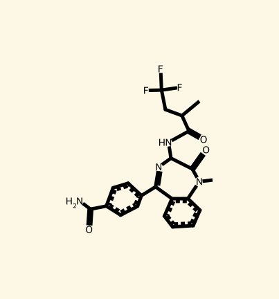 CC(CC(F)(F)F)C(=O)NC1N=C(c2ccc(C(N)=O)cc2)c2ccccc2N(C)C1=O